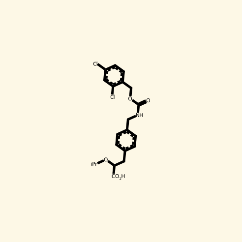 CC(C)OC(Cc1ccc(CNC(=O)OCc2ccc(Cl)cc2Cl)cc1)C(=O)O